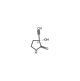 C#C[C@]1(O)CCNC1=O